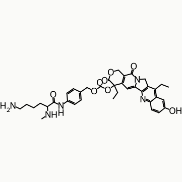 CCc1c2c(nc3ccc(O)cc13)-c1cc3c(c(=O)n1C2)COC(=O)C3(CC)OC(=O)OCc1ccc(NC(=O)C(CCCCN)NC)cc1